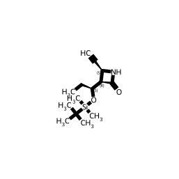 C#C[C@H]1NC(=O)[C@H]1[C@H](CC)O[Si](C)(C)C(C)(C)C